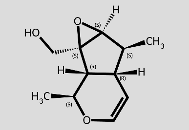 C[C@H]1[C@@H]2C=CO[C@@H](C)[C@@H]2[C@@]2(CO)O[C@@H]12